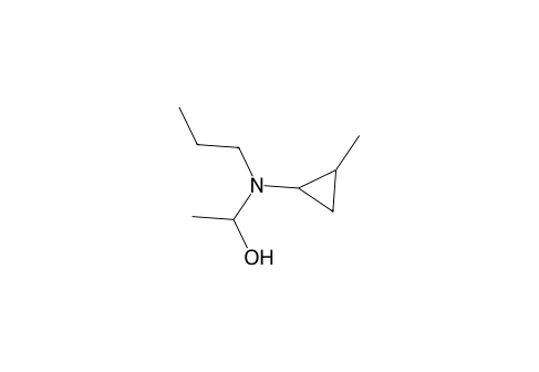 CCCN(C(C)O)C1CC1C